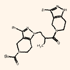 CCc1n[nH]c2c1CN(C(=O)C(C)Cn1nc(C(C)C)c3c1CCN(C(=O)C(C)(C)C)C3)CC2